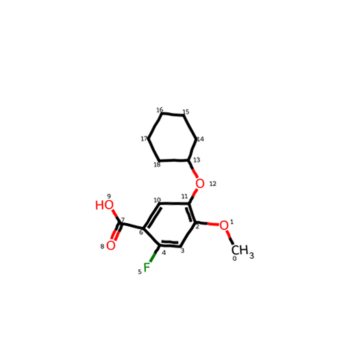 COc1cc(F)c(C(=O)O)cc1OC1CCCCC1